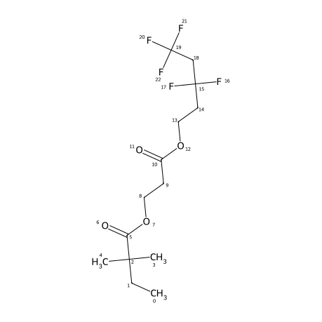 CCC(C)(C)C(=O)OCCC(=O)OCCC(F)(F)CC(F)(F)F